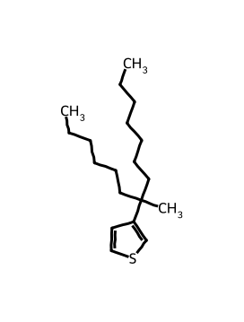 CCCCCCCC(C)(CCCCCC)c1ccsc1